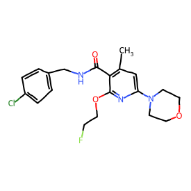 Cc1cc(N2CCOCC2)nc(OCCF)c1C(=O)NCc1ccc(Cl)cc1